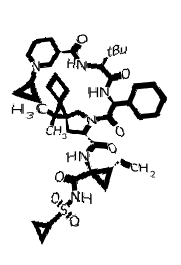 C=C[C@@H]1C[C@]1(NC(=O)[C@@H]1C[C@@]2(CN1C(=O)[C@@H](NC(=O)[C@@H](NC(=O)[C@@H]1CCCN(C3CC3)C1)C(C)(C)C)C1CCCCC1)C(C)(C)C21CCC1)C(=O)NS(=O)(=O)C1CC1